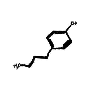 [CH]c1ccc(CCC[CH2])cc1